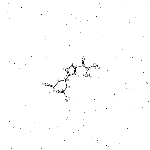 CN(C)C(=O)c1coc([C@H](CC=O)CC(=O)O)n1